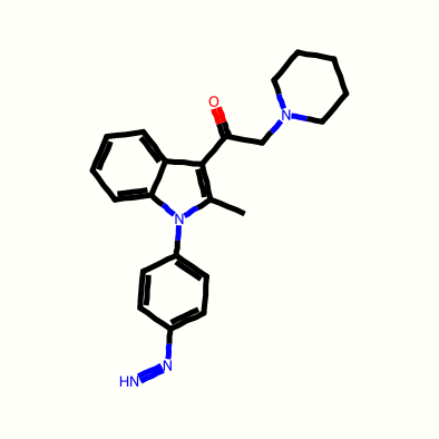 Cc1c(C(=O)CN2CCCCC2)c2ccccc2n1-c1ccc(N=N)cc1